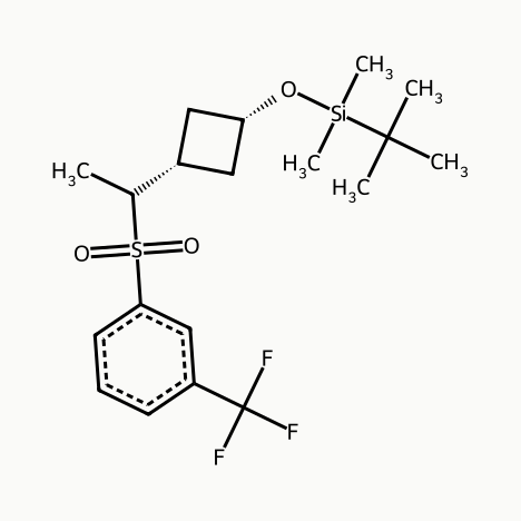 CC([C@H]1C[C@@H](O[Si](C)(C)C(C)(C)C)C1)S(=O)(=O)c1cccc(C(F)(F)F)c1